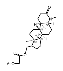 CC(=O)OCC(=O)OCC1CC[C@H]2[C@@H]3CC[C@H]4N(C)C(=O)CC[C@]4(C)[C@H]3CC[C@]12C